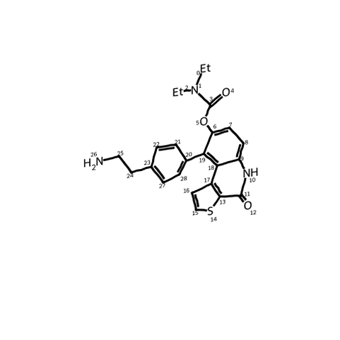 CCN(CC)C(=O)Oc1ccc2[nH]c(=O)c3sccc3c2c1-c1ccc(CCN)cc1